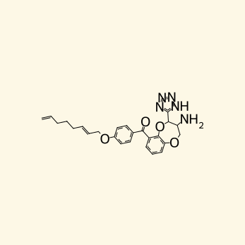 C=CCCC/C=C/COc1ccc(C(=O)c2cccc3c2OC(c2nnn[nH]2)C(N)CO3)cc1